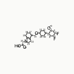 COc1cc(F)c(F)cc1-c1ccc(OCc2cccc3c2ccn3CC(=O)O)cc1